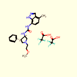 COCCN1C[C@H](NC(=O)Nc2ccc(C)c3cn[nH]c23)[C@@H](c2ccccc2)C1.O=C(O)C(F)(F)F.O=C(O)C(F)(F)F